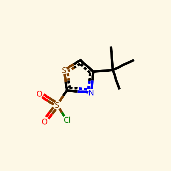 CC(C)(C)c1csc(S(=O)(=O)Cl)n1